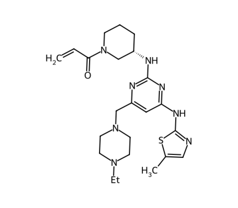 C=CC(=O)N1CCC[C@H](Nc2nc(CN3CCN(CC)CC3)cc(Nc3ncc(C)s3)n2)C1